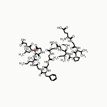 CC[C@H](C)[C@H](NC(=O)CNC(=O)[C@H](Cc1ccccc1)NC(=O)CNC(=O)CNC(=O)[C@H](CO)NC(=O)[C@H](CO)NC(=O)[C@@H](NC(=O)[C@@H]1CCCN1C(=O)[C@@H](NC(=O)CNC(=O)[C@@H](N)CCC(=O)O)C(C)C)[C@@H](C)CC)C(=O)N[C@@H](CO)C(=O)NCC(=O)N[C@@H](CC(C)C)C(=O)NCC(=O)O